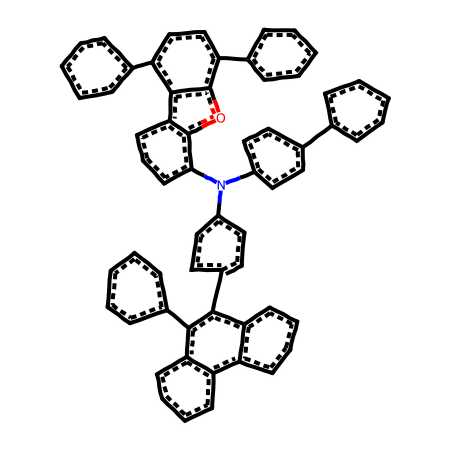 c1ccc(-c2ccc(N(c3ccc(-c4c(-c5ccccc5)c5ccccc5c5ccccc45)cc3)c3cccc4c3oc3c(-c5ccccc5)ccc(-c5ccccc5)c34)cc2)cc1